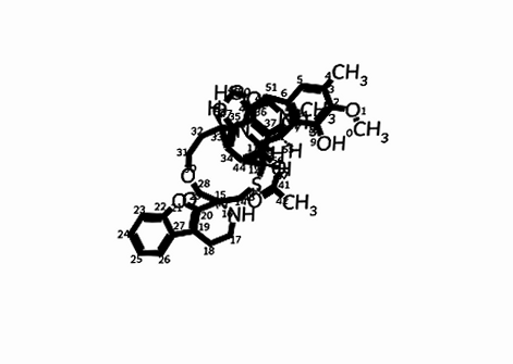 COc1c(C)cc2c(c1O)[C@H]1[C@@H]3[C@@H]4SC[C@]5(NCCc6c5oc5ccccc65)C(=O)OCC[C@@H](c5c6c(c(C)c(OC(C)=O)c54)OCO6)N3C(O)(C2)CN1C